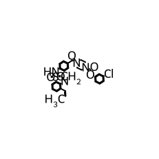 C=Nc1c(/C=C\C)cccc1S(=O)(=O)Nc1ccc(C(=O)N2CCN(C(=O)Oc3cccc(Cl)c3)CC2)cc1